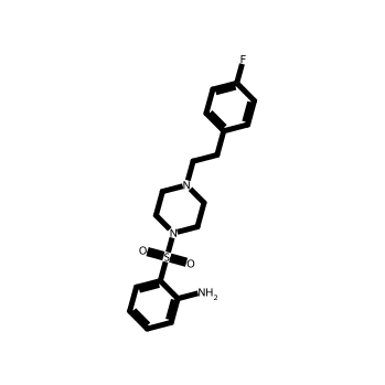 Nc1ccccc1S(=O)(=O)N1CCN(CCc2ccc(F)cc2)CC1